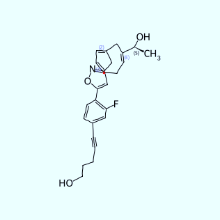 C[C@H](O)/C1=C/C/C=C\C=C(/Cc2cc(-c3ccc(C#CCCCO)cc3F)on2)C1